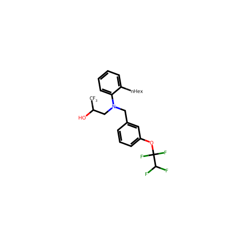 CCCCCCc1ccccc1N(Cc1cccc(OC(F)(F)C(F)F)c1)CC(O)C(F)(F)F